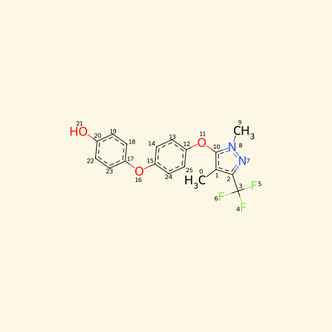 Cc1c(C(F)(F)F)nn(C)c1Oc1ccc(Oc2ccc(O)cc2)cc1